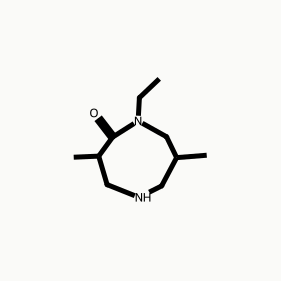 CCN1CC(C)CNCC(C)C1=O